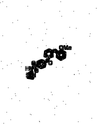 COc1ccccc1CC1CCCN(C(=O)c2ccc(S(=O)(=O)Nc3nccs3)cc2)C1